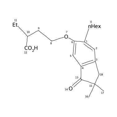 CCCCCCc1cc2c(cc1OCCC(CC)C(=O)O)C(=O)C(C)(C)C2